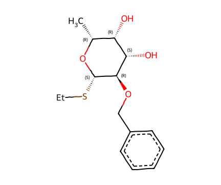 CCS[C@@H]1O[C@H](C)[C@H](O)[C@H](O)[C@H]1OCc1ccccc1